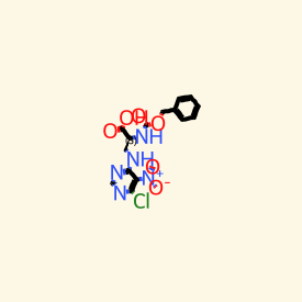 O=C(N[C@@H](CNc1ncnc(Cl)c1[N+](=O)[O-])C(=O)O)OCc1ccccc1